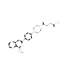 CNc1nc(-c2ccc(N3CCN(C(=O)CCC(N)=O)CC3)cc2)cc2nccnc12